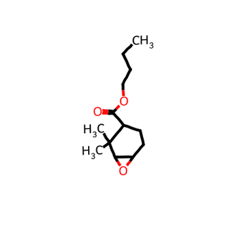 CCCCOC(=O)C1CCC2OC2C1(C)C